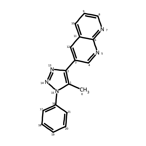 Cc1c(-c2cnc3ncccc3c2)nnn1-c1ccccc1